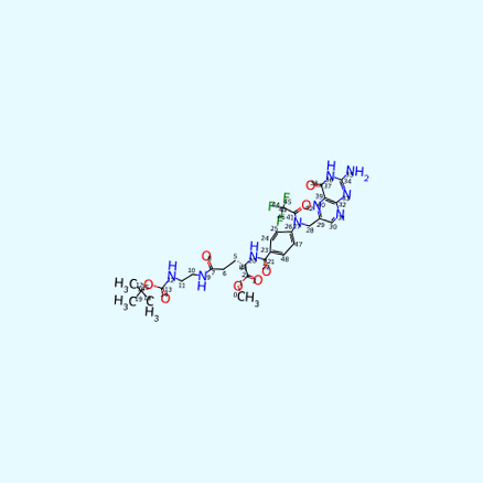 COC(=O)[C@H](CCC(=O)NCCNC(=O)OC(C)(C)C)NC(=O)c1ccc(N(Cc2cnc3nc(N)[nH]c(=O)c3n2)C(=O)C(F)(F)F)cc1